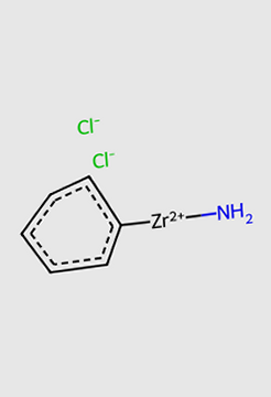 [Cl-].[Cl-].[NH2][Zr+2][c]1ccccc1